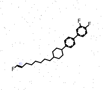 F/C=C/CCCCCCC1CCC(c2ccc(-c3ccc(F)c(F)c3)cc2)CC1